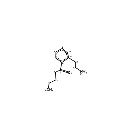 CCCCC(=S)c1ccccc1CCN